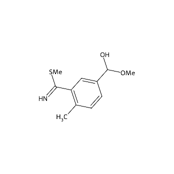 COC(O)c1ccc(C)c(C(=N)SC)c1